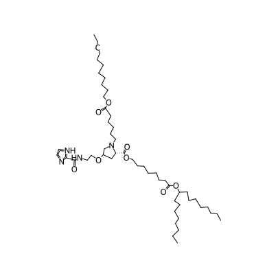 CCCCCCCCCCCOC(=O)CCCCCN1CC(OCCNC(=O)c2ncc[nH]2)C[C@H]1C(=O)OCCCCCCCC(=O)OC(CCCCCCCC)CCCCCCCC